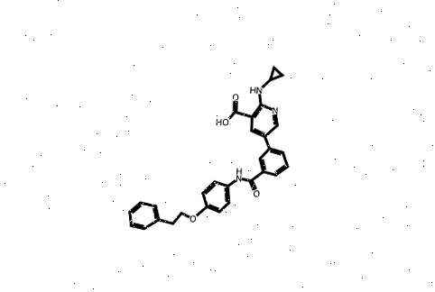 O=C(Nc1ccc(OCCc2ccccc2)cc1)c1cccc(-c2cnc(NC3CC3)c(C(=O)O)c2)c1